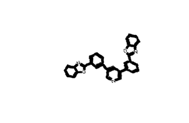 c1cc(-c2cncc(-c3cccc(-c4nc5ccccc5o4)c3)c2)cc(-c2nc3ccccc3o2)c1